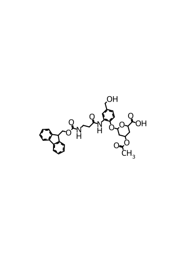 CC(=O)OC1CC(Oc2ccc(CO)cc2NC(=O)CCNC(=O)OCC2c3ccccc3-c3ccccc32)OC(C(=O)O)C1